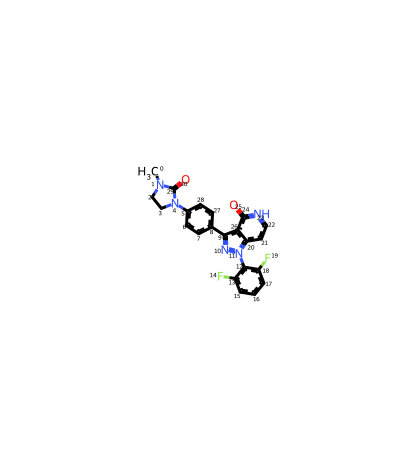 CN1CCN(c2ccc(-c3nn(-c4c(F)cccc4F)c4cc[nH]c(=O)c34)cc2)C1=O